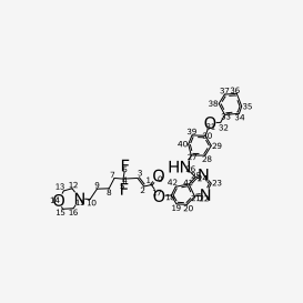 O=C(C=CC(F)(F)CCCCN1CCOCC1)Oc1ccc2ncnc(Nc3ccc(OCc4ccccc4)cc3)c2c1